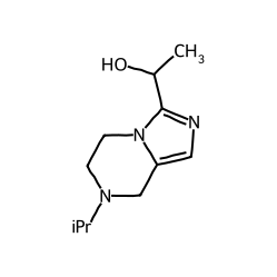 CC(O)c1ncc2n1CCN(C(C)C)C2